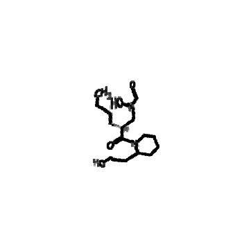 CCCC[C@H](CN(O)C=O)C(=O)N1CCCCC1CCO